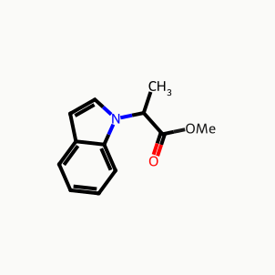 COC(=O)C(C)n1ccc2ccccc21